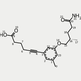 Cc1cc(C#CCCCC(=O)O)cc(OC[C@@H](C)CCC(N)=O)c1